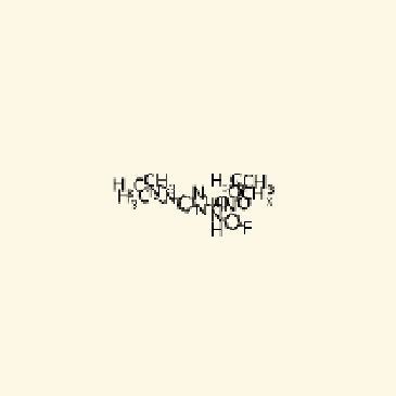 CC(C)(C)OC(=O)Nc1cc(F)ccc1NC(=O)c1cnc2cc(N3CCN(C(C)(C)C)CC3)ccc2n1